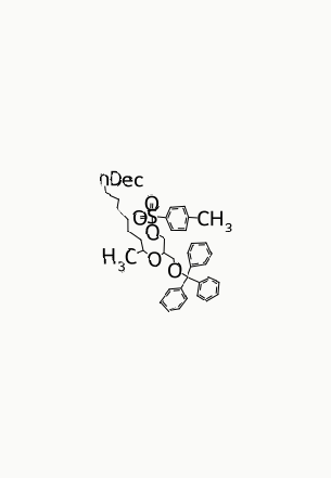 CCCCCCCCCCCCCCCCC(C)OC(COC(c1ccccc1)(c1ccccc1)c1ccccc1)COS(=O)(=O)c1ccc(C)cc1